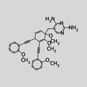 COC1=C(C#Cc2ccccc2OC)C(C#Cc2ccccc2OC)[C]=CC1(Cc1cnc(N)nc1N)OC